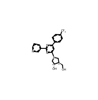 OC[C@@H]1CN(c2cc(-c3ccc(C(F)(F)F)cc3)nc(-c3cccnc3)n2)C[C@H]1O